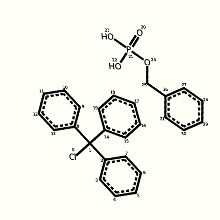 ClC(c1ccccc1)(c1ccccc1)c1ccccc1.O=P(O)(O)OCc1ccccc1